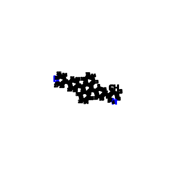 Cc1ccncc1-c1ccc(-c2c3ccccc3c(-c3ccc(-c4ccncc4)cc3)c3ccccc23)cc1